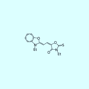 CCN1C(=O)/C(=C\C=C2/Oc3ccccc3N2CC)OC1=S